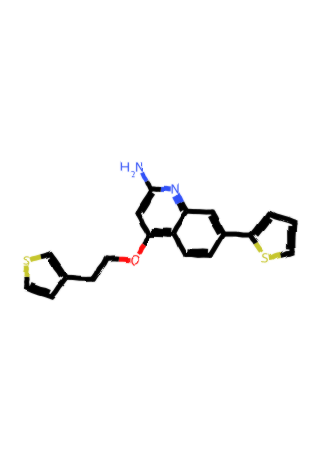 Nc1cc(OCCc2ccsc2)c2ccc(-c3cccs3)cc2n1